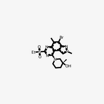 CCS(=O)(=O)c1nc(N2CCC[C@@](C)(O)C2)c2c(n1)c(C)c(Br)c1nn(C)cc12